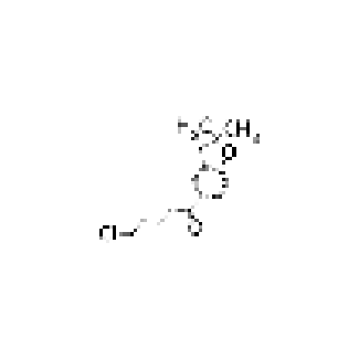 CC1(C)Cc2cc(C(=O)CCCCCl)ccc2O1